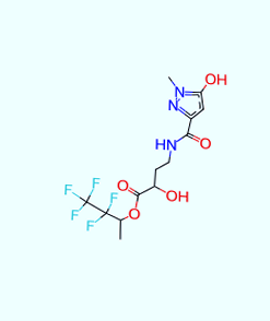 CC(OC(=O)C(O)CCNC(=O)c1cc(O)n(C)n1)C(F)(F)C(F)(F)F